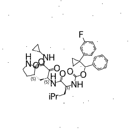 CC(C)C[C@H](NC(=O)OC(c1ccccc1)C1(c2cccc(F)c2)CC1)C(=O)N[C@@H](C[C@@H]1CCNC1=O)C(=O)C(=O)NC1CC1